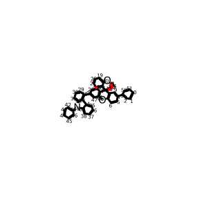 c1ccc(-c2ccc3c(c2)C2(c4ccccc4Oc4ccccc42)c2ccc(-c4cccc5c4c4ccccc4n5-c4ccccc4)cc2O3)cc1